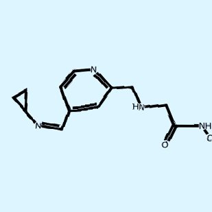 CNC(=O)CNCc1cc(/C=N\C2CC2)ccn1